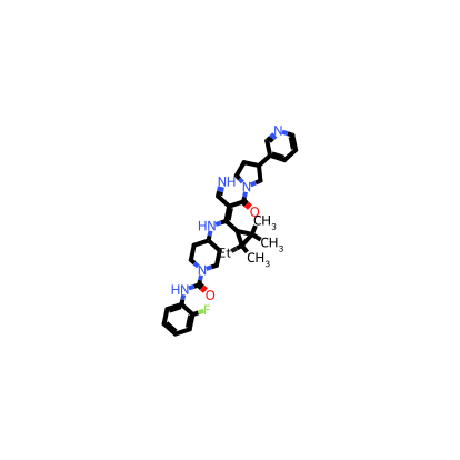 CCC1(C)C(/C(NC2CCN(C(=O)Nc3ccccc3F)CC2)=C(/C=N)C(=O)N2CCC(c3cccnc3)C2)C1(C)C